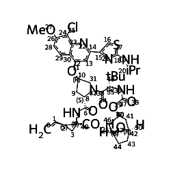 C=C[C@@H]1C[C@]1(NC(=O)[C@@H]1C[C@@H](Oc2cc(-c3csc(NC(C)C)n3)nc3c(Cl)c(OC)ccc23)CN1C(=O)[C@@H](NC(=O)O[C@H]1C[C@H]2CC[C@@H](C1)O2)C(C)(C)C)C(=O)O